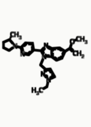 C=C(OC)c1ccc2c(c1)nc(-c1ccc(N3CCC[C@@H]3C)nc1)n2Cc1ccn(CC)n1